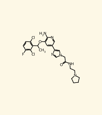 CC(Oc1cc(-c2cn(CC(=O)NCCN3CCCC3)cn2)cnc1N)c1c(Cl)ccc(F)c1Cl